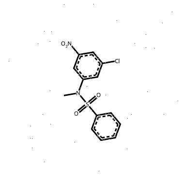 CN(c1cc(Cl)cc([N+](=O)[O-])c1)S(=O)(=O)c1ccccc1